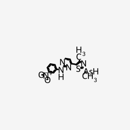 C[AsH]c1nc(C)c(-c2ccnc(Nc3cccc([N+](=O)[O-])c3)n2)s1